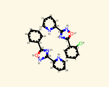 Clc1ccccc1-c1nc(-c2ccccn2)no1.c1ccc(-c2nc(-c3ccccn3)no2)cc1